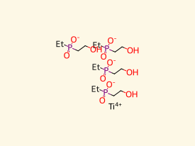 CCP(=O)([O-])CCO.CCP(=O)([O-])CCO.CCP(=O)([O-])CCO.CCP(=O)([O-])CCO.[Ti+4]